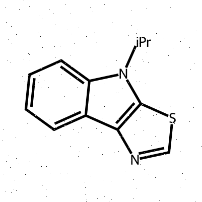 CC(C)n1c2ccccc2c2ncsc21